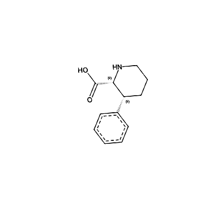 O=C(O)[C@@H]1NCCC[C@@H]1c1ccccc1